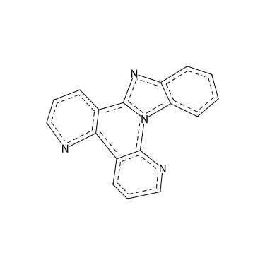 c1ccc2c(c1)nc1c3cccnc3c3cccnc3n21